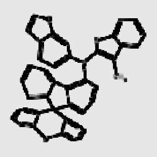 Cc1c(N(c2ccc3ccoc3c2)c2cccc3c2-c2ccccc2C32c3ccccc3Sc3ccccc32)sc2ccccc12